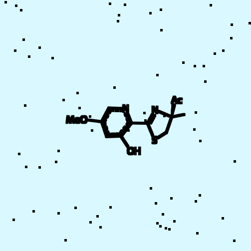 COc1cnc(C2=N[C@@](C)(C(C)=O)CS2)c(O)c1